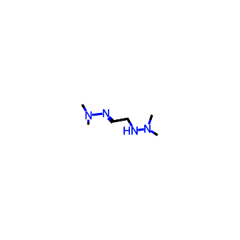 CN(C)N=CCNN(C)C